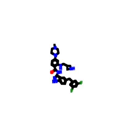 CN1CCN(c2ccc(C(=O)Nc3n[nH]c4ccc(Cc5cc(F)cc(F)c5)cc34)c(NCC3CNC3)c2)CC1